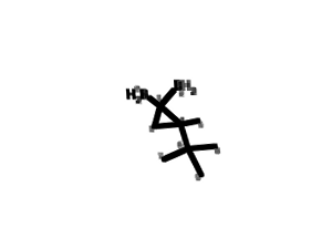 BC1(B)CC1(C)C(C)(C)C